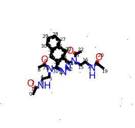 CC(=O)NCCN(C(C)=O)c1nnc(N(CCNC(C)=O)C(C)=O)c2cc3ccccc3cc12